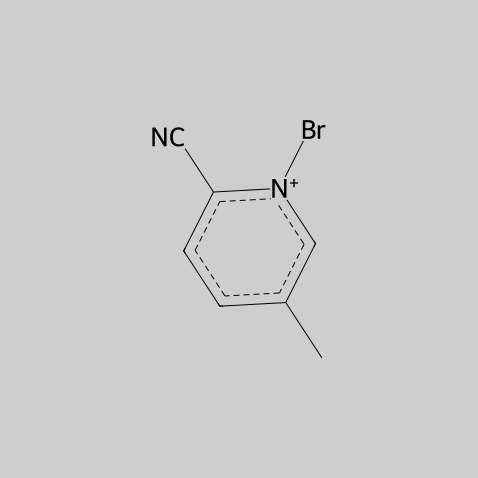 Cc1ccc(C#N)[n+](Br)c1